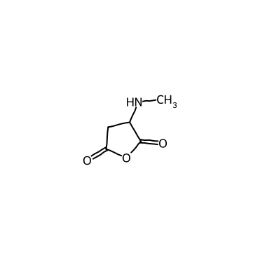 CNC1CC(=O)OC1=O